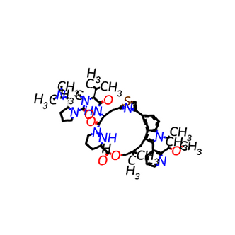 CCn1c(-c2cccnc2[C@H](C)OC)c2c3cc(ccc31)-c1csc(n1)C[C@H](NC(=O)[C@H](C(C)C)N(C)C(=O)N1CCC[C@@H]1CN(C)C)C(=O)N1CCC[C@H](N1)C(=O)OCC(C)(C)C2